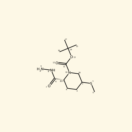 CSC1CC[C@H](C(=O)NN)N(C(=O)OC(C)(C)C)C1